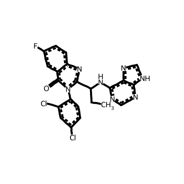 CCC(Nc1ncnc2[nH]cnc12)c1nc2ccc(F)cc2c(=O)n1-c1ccc(Cl)cc1Cl